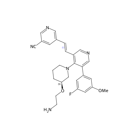 COc1cc(F)cc(-c2cncc(/C=C/c3cncc(C#N)c3)c2N2CCC[C@H](OCCN)C2)c1